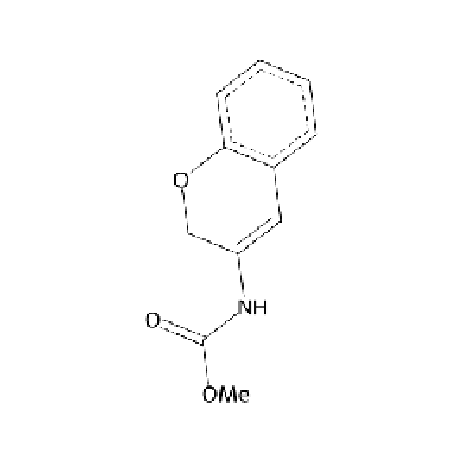 COC(=O)NC1=Cc2ccccc2OC1